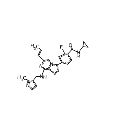 CC=Cc1cn2c(-c3ccc(C(=O)NC4CC4)c(F)c3)cnc2c(NCc2ccnn2C)n1